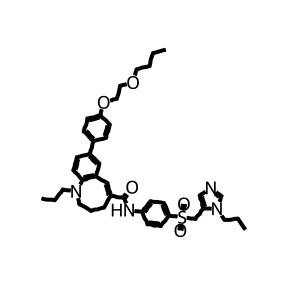 CCCCOCCOc1ccc(-c2ccc3c(c2)C=C(C(=O)Nc2ccc(S(=O)(=O)Cc4cncn4CCC)cc2)CCCN3CCC)cc1